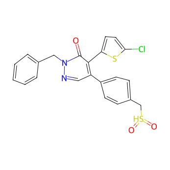 O=c1c(-c2ccc(Cl)s2)c(-c2ccc(C[SH](=O)=O)cc2)cnn1Cc1ccccc1